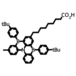 Cc1ccc2c(c1)B(c1ccc(C(C)(C)C)cc1)c1cc(CCCCCCCCC(=O)O)cc3c1N2c1ccccc1B3c1ccc(C(C)(C)C)cc1